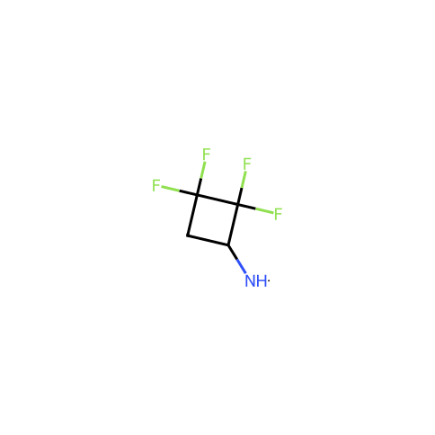 [NH]C1CC(F)(F)C1(F)F